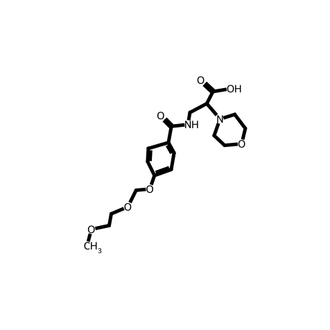 COCCOCOc1ccc(C(=O)NCC(C(=O)O)N2CCOCC2)cc1